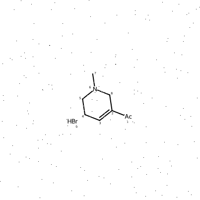 Br.CC(=O)C1=CCCN(C)C1